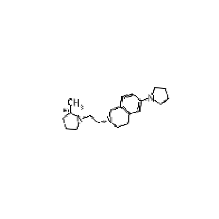 C[C@@H]1CCCN1CCN1CCc2cc(N3CCCC3)ccc2C1